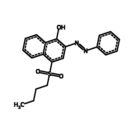 CCCCS(=O)(=O)c1cc(N=Nc2ccccc2)c(O)c2ccccc12